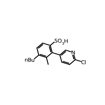 CCCCc1ccc(S(=O)(=O)O)c(-c2ccc(Cl)nc2)c1C